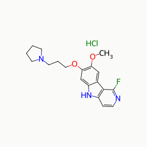 COc1cc2c(cc1OCCCN1CCCC1)[nH]c1ccnc(F)c12.Cl